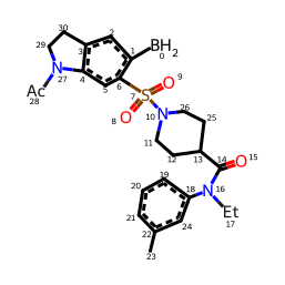 Bc1cc2c(cc1S(=O)(=O)N1CCC(C(=O)N(CC)c3cccc(C)c3)CC1)N(C(C)=O)CC2